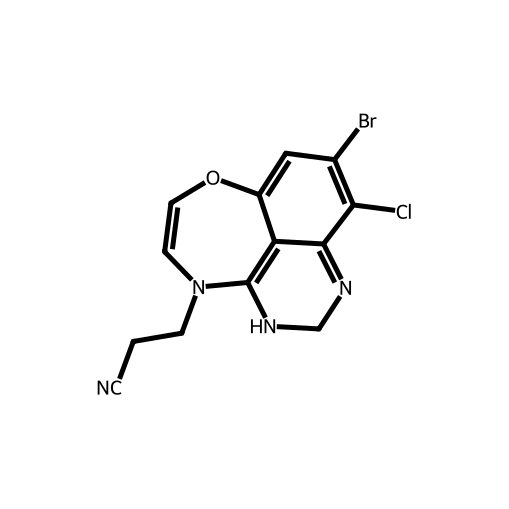 N#CCCN1C=COc2cc(Br)c(Cl)c3c2=C1NCN=3